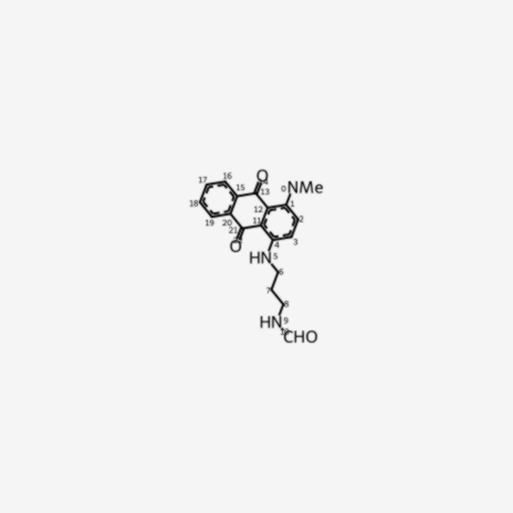 CNc1ccc(NCCCNC=O)c2c1C(=O)c1ccccc1C2=O